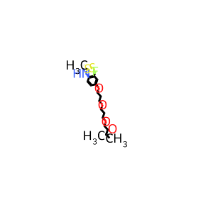 CC(C)C(=O)COCCCOCCCOc1ccc(NS(C)=S)c(F)c1